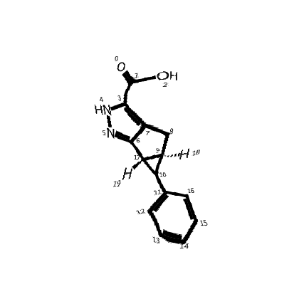 O=C(O)c1[nH]nc2c1C[C@H]1C(c3ccccc3)[C@H]21